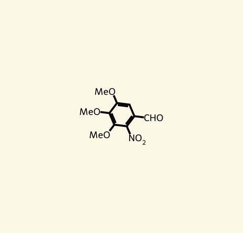 COc1cc(C=O)c([N+](=O)[O-])c(OC)c1OC